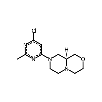 Cc1nc(Cl)cc(N2CCN3CCOC[C@@H]3C2)n1